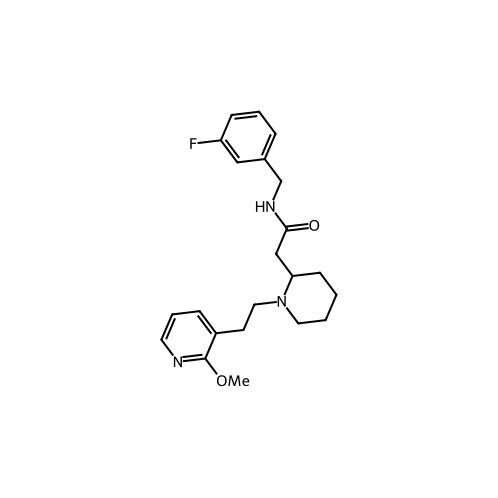 COc1ncccc1CCN1CCCCC1CC(=O)NCc1cccc(F)c1